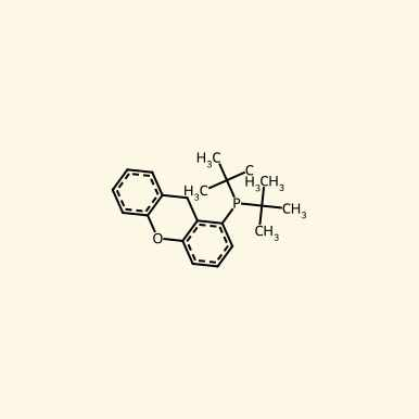 CC(C)(C)P(c1cccc2c1Cc1ccccc1O2)C(C)(C)C